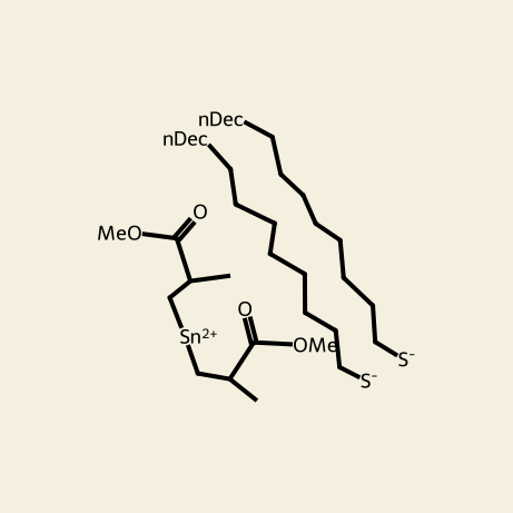 CCCCCCCCCCCCCCCCCC[S-].CCCCCCCCCCCCCCCCCC[S-].COC(=O)C(C)[CH2][Sn+2][CH2]C(C)C(=O)OC